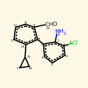 Nc1c(Cl)cccc1-c1c(C=O)cccc1C1CC1